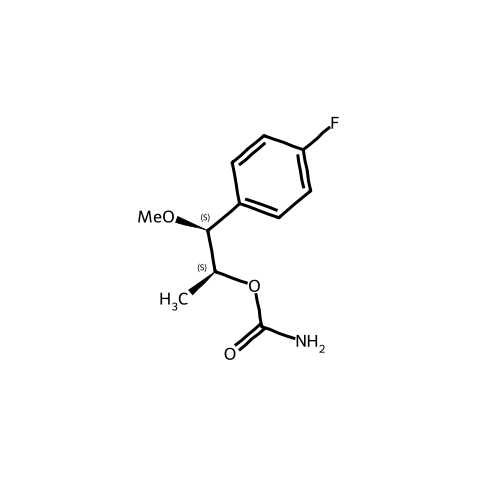 CO[C@@H](c1ccc(F)cc1)[C@H](C)OC(N)=O